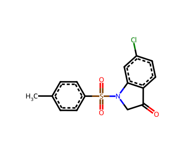 Cc1ccc(S(=O)(=O)N2CC(=O)c3ccc(Cl)cc32)cc1